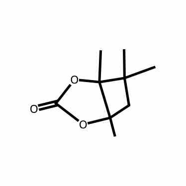 CC1(C)CC2(C)OC(=O)OC12C